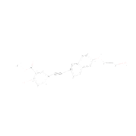 CCCOC(=O)c1cc(C#Cc2ccc3cc(OCCCO)ccc3c2)ccc1O